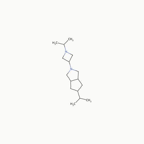 CC(C)C1CC2CN(C3CN(C(C)C)C3)CC2C1